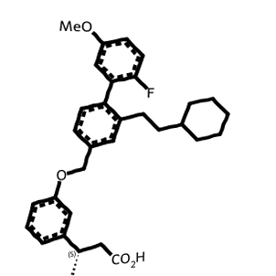 COc1ccc(F)c(-c2ccc(COc3cccc([C@@H](C)CC(=O)O)c3)cc2CCC2CCCCC2)c1